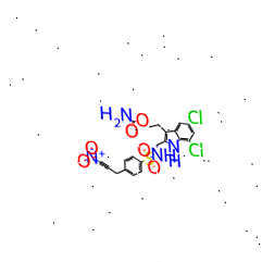 NC(=O)OCCc1c(CNS(=O)(=O)c2ccc(CC#C[N+](=O)[O-])cc2)[nH]c2c(Cl)cc(Cl)cc12